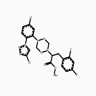 CC(C)(C)OC(=O)C(Cc1ccc(F)cc1F)N1CON(c2cc(Cl)ccc2-n2cc(Cl)nn2)CO1